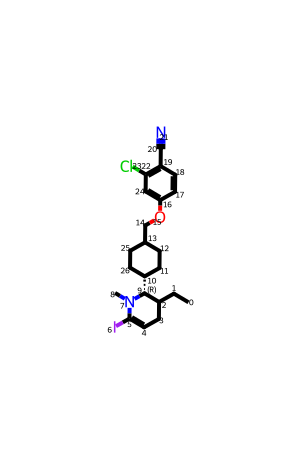 CCC1CC=C(I)N(C)[C@@H]1C1CCC(COc2ccc(C#N)c(Cl)c2)CC1